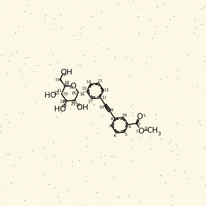 COC(=O)c1cccc(C#Cc2cccc([C@H]3O[C@H](CO)[C@@H](O)[C@H](O)[C@H]3O)c2)c1